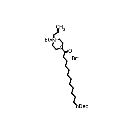 C=CC[N+]1(CC)CCN(C(=O)CCCCCCCCCCCCCCCCCCCCC)CC1.[Br-]